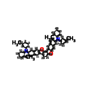 Cc1cccc(N(c2ccc3cc4c(cc3c2)oc2c4ccc3oc4cc5cc(N(c6cccc(C)c6)c6ccccc6C)ccc5cc4c32)c2ccccc2C)c1